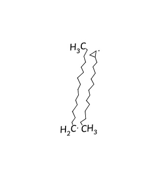 CCCCCCCCCCCCCC1[CH]C1.[CH2]CCCCCCCCCCCCCCC